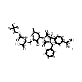 CC(C)CC(C(=O)NC[C@H](NC(=O)OCC(C)(C)C)C(=O)O)N1C(=O)N(Cc2ccccc2)[C@@](C)(c2ccc(C(=N)N)cc2)C1=O